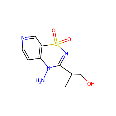 CC(CO)C1=NS(=O)(=O)c2cnccc2N1N